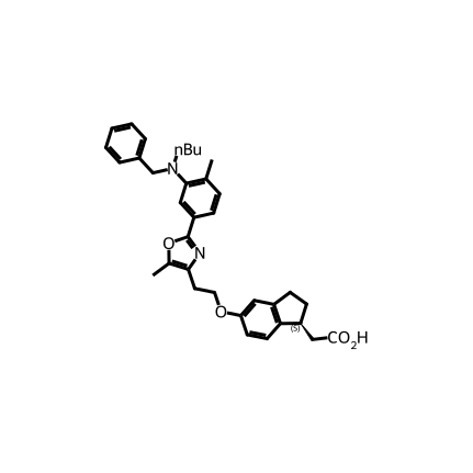 CCCCN(Cc1ccccc1)c1cc(-c2nc(CCOc3ccc4c(c3)CC[C@H]4CC(=O)O)c(C)o2)ccc1C